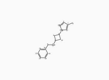 Cc1cnn(C2CC(OCc3ccccc3)C2)c1